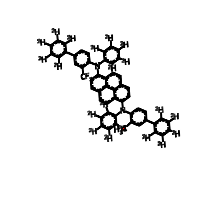 [2H]c1c([2H])c([2H])c(-c2ccc(N(c3c([2H])c([2H])c([2H])c([2H])c3[2H])c3ccc4ccc5c(N(c6ccc(-c7c([2H])c([2H])c([2H])c([2H])c7[2H])cc6C(F)(F)F)c6c([2H])c([2H])c([2H])c([2H])c6[2H])ccc6ccc3c4c65)c(C)c2)c([2H])c1[2H]